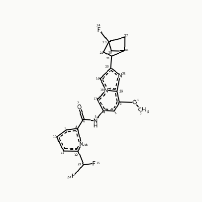 COc1cc(NC(=O)c2cccc(C(F)F)n2)cn2cc(C3CC4(F)CC3C4)nc12